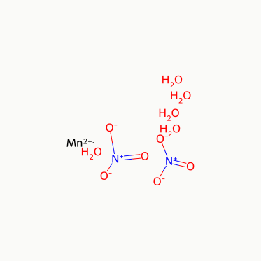 O.O.O.O.O.O=[N+]([O-])[O-].O=[N+]([O-])[O-].[Mn+2]